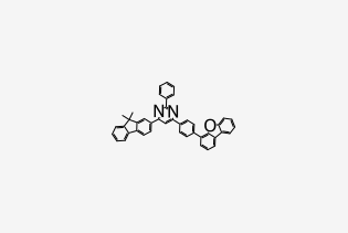 CC1(C)c2ccccc2-c2ccc(-c3cc(-c4ccc(-c5cccc6c5oc5ccccc56)cc4)nc(-c4ccccc4)n3)cc21